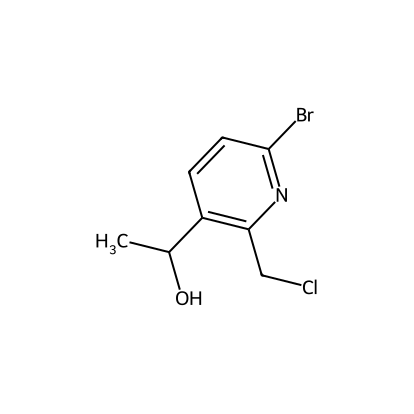 CC(O)c1ccc(Br)nc1CCl